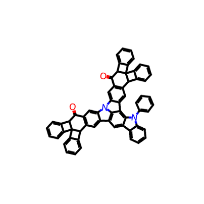 O=C1c2cc3c(cc2C2c4ccccc4C24c2ccccc2C14)c1cc2c4ccccc4n(-c4ccccc4)c2c2c4cc5c(cc4n3c12)C(=O)C1c2ccccc2C12c1ccccc1C52